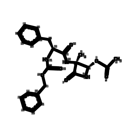 CC(=O)O[C@@H]1NC(=O)[C@@]1(C)NC(=O)[C@H](Cc1ccccc1)NC(=O)OCc1ccccc1